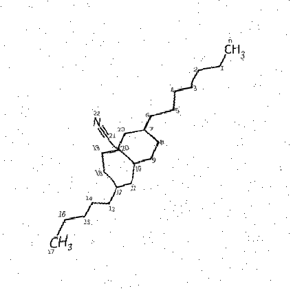 CCCCCCCC1CCC2CC(CCCCC)CCC2(C#N)C1